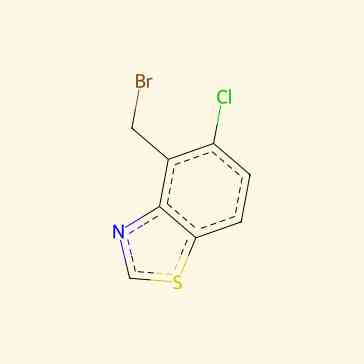 Clc1ccc2scnc2c1CBr